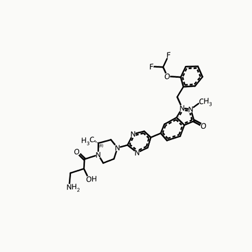 C[C@@H]1CN(c2ncc(-c3ccc4c(=O)n(C)n(Cc5ccccc5OC(F)F)c4c3)cn2)CCN1C(=O)C(O)CN